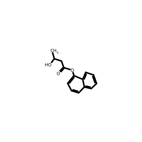 CC(O)CC(=O)Oc1cccc2ccccc12